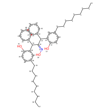 CCCCCCCCCc1ccc(O)c(C(C(=NO)C(c2ccccc2)c2cc(CCCCCCCCC)ccc2O)c2ccccc2)c1